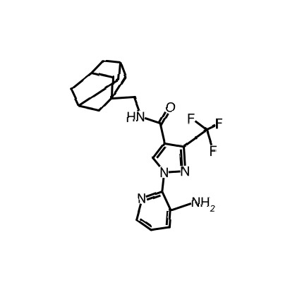 Nc1cccnc1-n1cc(C(=O)NCC23CC4CC(CC(C4)C2)C3)c(C(F)(F)F)n1